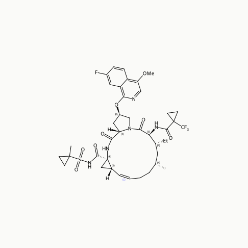 CC[C@@H]1C[C@H](C)CC/C=C\[C@@H]2C[C@@]2(C(=O)NS(=O)(=O)C2(C)CC2)NC(=O)[C@@H]2C[C@@H](Oc3ncc(OC)c4ccc(F)cc34)CN2C(=O)[C@H]1NC(=O)C1(C(F)(F)F)CC1